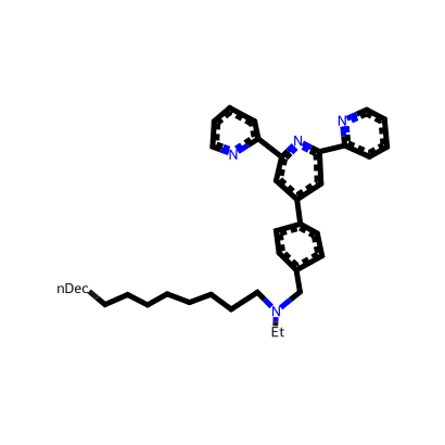 CCCCCCCCCCCCCCCCCCN(CC)Cc1ccc(-c2cc(-c3ccccn3)nc(-c3ccccn3)c2)cc1